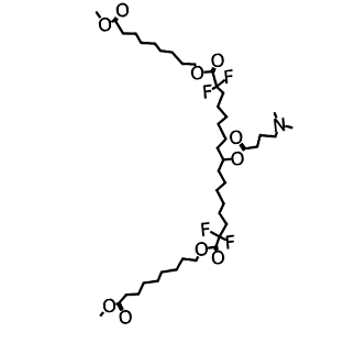 COC(=O)CCCCCCCCOC(=O)C(F)(F)CCCCCCC(CCCCCCC(F)(F)C(=O)OCCCCCCCCC(=O)OC)OC(=O)CCCN(C)C